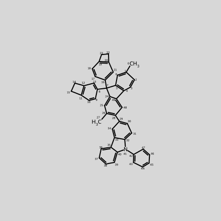 Cc1ccc2c(c1)C(c1ccc3c(c1)CC3)(c1ccc3c(c1)CC3)c1cc(C)c(-c3ccc4c(c3)c3ccccc3n4-c3ccccc3)cc1-2